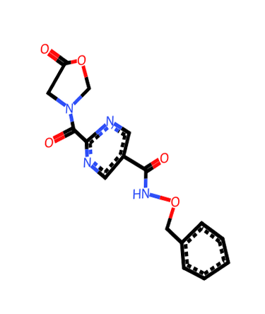 O=C1CN(C(=O)c2ncc(C(=O)NOCc3ccccc3)cn2)CO1